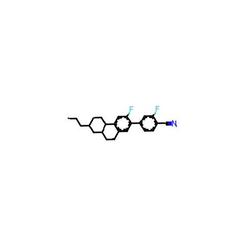 CCCC1CCC2c3cc(F)c(-c4ccc(C#N)c(F)c4)cc3CCC2C1